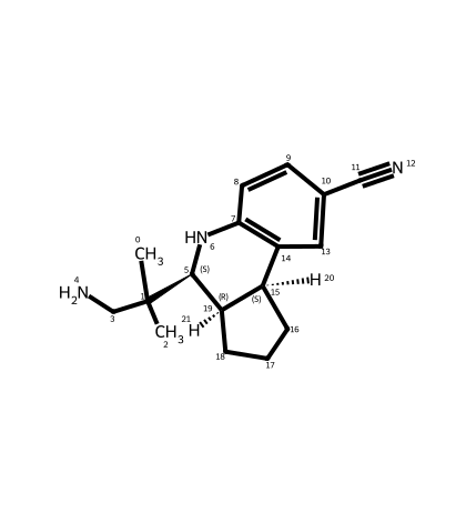 CC(C)(CN)[C@H]1Nc2ccc(C#N)cc2[C@H]2CCC[C@H]21